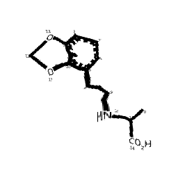 CC(NCCc1cccc2c1OCO2)C(=O)O